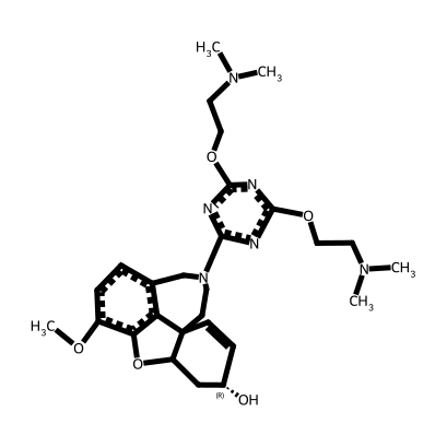 COc1ccc2c3c1OC1C[C@@H](O)C=CC31CCN(c1nc(OCCN(C)C)nc(OCCN(C)C)n1)C2